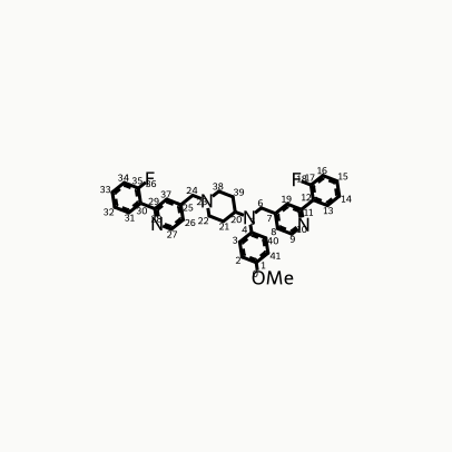 COc1ccc(N(Cc2ccnc(-c3ccccc3F)c2)C2CCN(Cc3ccnc(-c4ccccc4F)c3)CC2)cc1